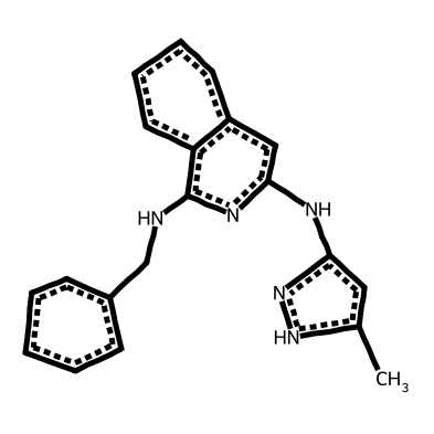 Cc1cc(Nc2cc3ccccc3c(NCc3ccccc3)n2)n[nH]1